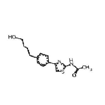 CC(=O)Nc1nc(-c2ccc(CCCCO)cc2)cs1